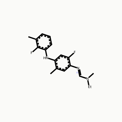 CCN(C)/C=N/c1cc(C)c(Nc2cccc(C)c2F)cc1F